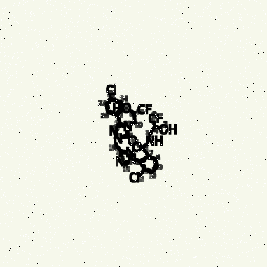 O=C(NCC(O)C(F)(F)F)c1cccc(Cl)c1-n1cnc(Cn2nc(-c3ccc(Cl)cc3)n(C[C@H](O)C(F)(F)F)c2=O)n1